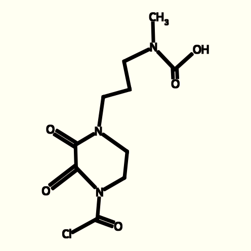 CN(CCCN1CCN(C(=O)Cl)C(=O)C1=O)C(=O)O